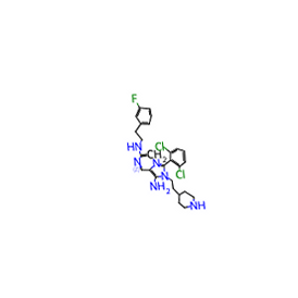 C=C(/N=C\c1nc(-c2c(Cl)cccc2Cl)n(CCC2CCNCC2)c1N)NCCc1cccc(F)c1